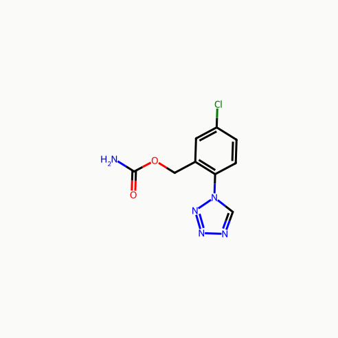 NC(=O)OCc1cc(Cl)ccc1-n1cnnn1